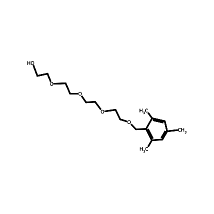 Cc1cc(C)c(COCCOCCOCCOCCO)c(C)c1